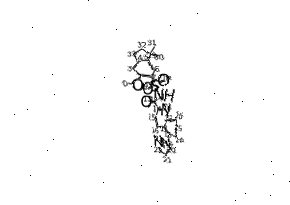 COc1cc2c(cc1S(=O)(=O)NC(=O)c1ccc3c(-n4cccn4)cccc3n1)C(C)(C)CC2